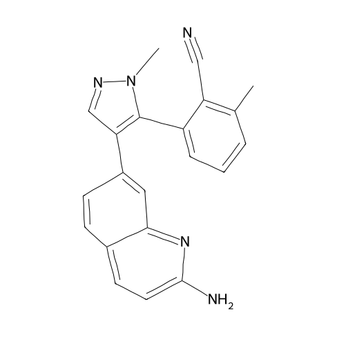 Cc1cccc(-c2c(-c3ccc4ccc(N)nc4c3)cnn2C)c1C#N